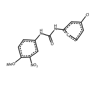 COc1ccc(NC(=O)Nc2cccc(Cl)c2)cc1[N+](=O)[O-]